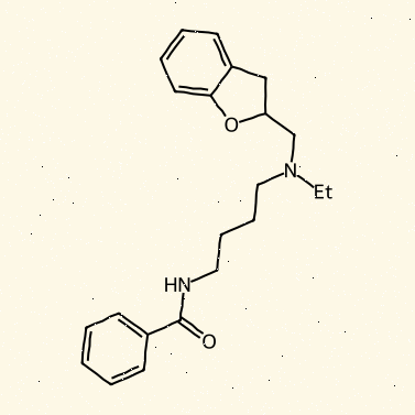 CCN(CCCCNC(=O)c1ccccc1)CC1Cc2ccccc2O1